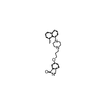 O=C1N=Cc2ccc(OCCCN3CCN(c4cccc5cccc(F)c45)CC3)cc21